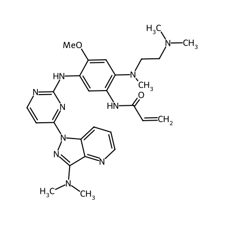 C=CC(=O)Nc1cc(Nc2nccc(-n3nc(N(C)C)c4ncccc43)n2)c(OC)cc1N(C)CCN(C)C